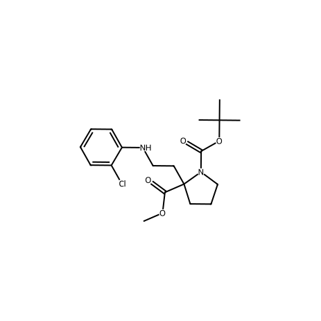 COC(=O)C1(CCNc2ccccc2Cl)CCCN1C(=O)OC(C)(C)C